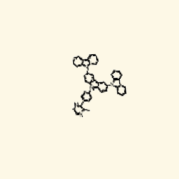 Cc1nccnc1-c1ccc(-n2c3ccc(-n4c5ccccc5c5ccccc54)cc3c3cc(-n4c5ccccc5c5ccccc54)ccc32)cc1